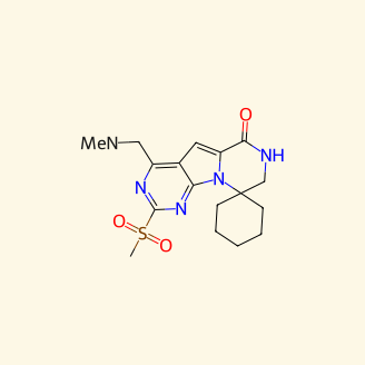 CNCc1nc(S(C)(=O)=O)nc2c1cc1n2C2(CCCCC2)CNC1=O